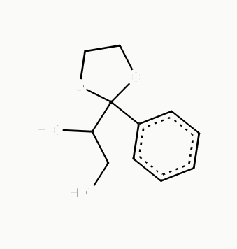 CCC(C)C1(c2ccccc2)OCCO1